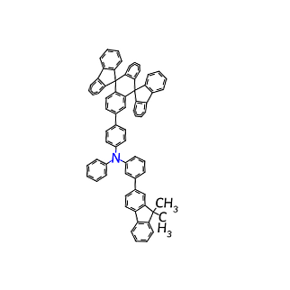 CC1(C)c2ccccc2-c2ccc(-c3cccc(N(c4ccccc4)c4ccc(-c5ccc6c(c5)C5(c7ccccc7-c7ccccc75)c5ccccc5C65c6ccccc6-c6ccccc65)cc4)c3)cc21